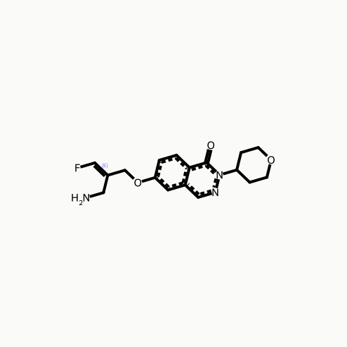 NC/C(=C\F)COc1ccc2c(=O)n(C3CCOCC3)ncc2c1